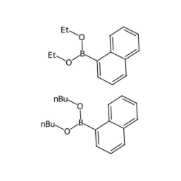 CCCCOB(OCCCC)c1cccc2ccccc12.CCOB(OCC)c1cccc2ccccc12